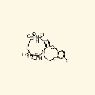 O=C1NS(=O)(=O)CCC[C@H](O)[C@@H]2CC[C@H]2CN2CCCCc3cc(Cl)ccc3COc3ccc1cc32